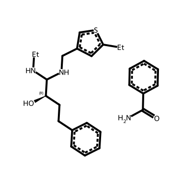 CCNC(NCc1csc(CC)c1)[C@H](O)CCc1ccccc1.NC(=O)c1ccccc1